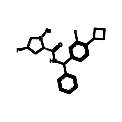 CC(=O)N1C[C@H](F)C[C@H]1C(=O)NC(c1ccccc1)c1ccc(C2CCC2)c(F)c1